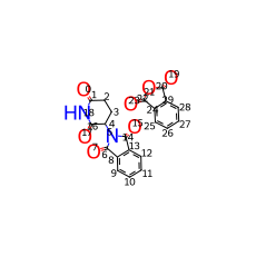 O=C1CCC(N2C(=O)c3ccccc3C2=O)C(=O)N1.O=C1OC(=O)c2ccccc21